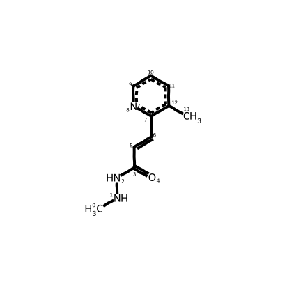 CNNC(=O)C=Cc1ncccc1C